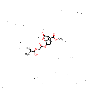 C=C(C)C(O)OCC(=O)OC1C2CC3C1OC(=O)C3C2C(=O)OC